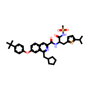 CC(C)c1ccc(CC(NC(=O)c2cc3ccc(Oc4ccc(C(C)(C)C)cc4)cc3c(CC3CCCC3)n2)C(=O)NS(C)(=O)=O)s1